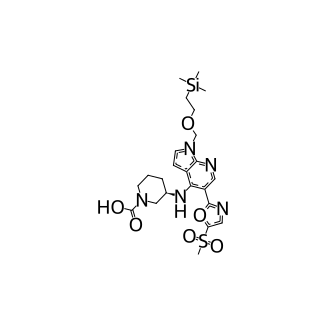 C[Si](C)(C)CCOCn1ccc2c(N[C@@H]3CCCN(C(=O)O)C3)c(-c3ncc(S(C)(=O)=O)o3)cnc21